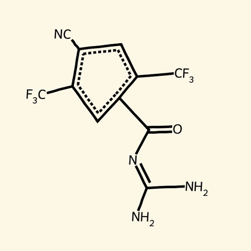 N#Cc1cc(C(F)(F)F)c(C(=O)N=C(N)N)cc1C(F)(F)F